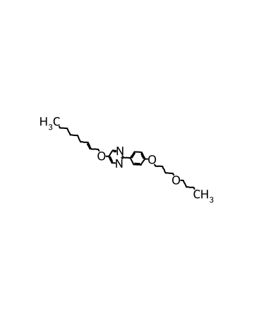 CCCCCCC=CCOc1cnc(-c2ccc(OCCCCOCCCC)cc2)nc1